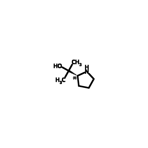 CC(C)(O)[C@H]1CCCN1